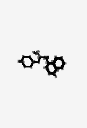 C[C@@H](CN1CCNCC1)Nc1ncnc2[c]cccc12